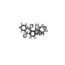 O=C1c2ccccc2C(=O)c2c1ccc1c2NC2(CCOCC2)N1